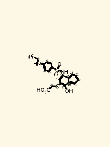 CC(C)CNc1ccc(S(=O)(=O)Nc2cc(SCC(=O)O)c(O)c3ccccc23)cc1